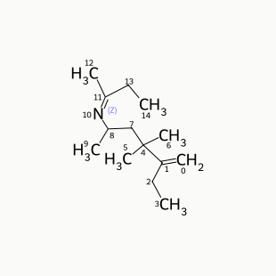 C=C(CC)C(C)(C)CC(C)/N=C(/C)CC